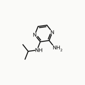 CC(C)Nc1nccnc1N